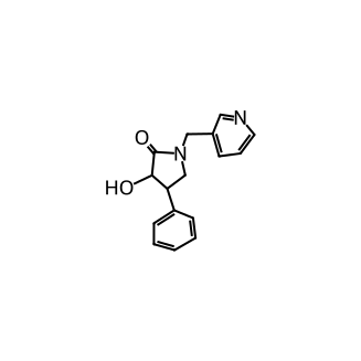 O=C1C(O)C(c2ccccc2)CN1Cc1cccnc1